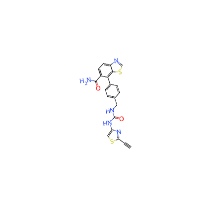 C#Cc1nc(NC(=O)NCc2ccc(-c3c(C(N)=O)ccc4ncsc34)cc2)cs1